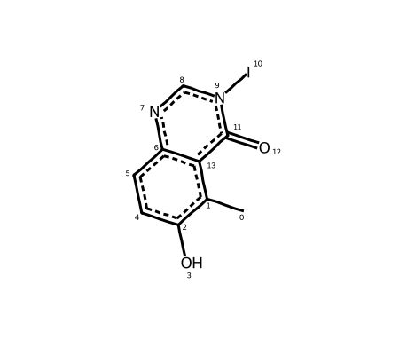 Cc1c(O)ccc2ncn(I)c(=O)c12